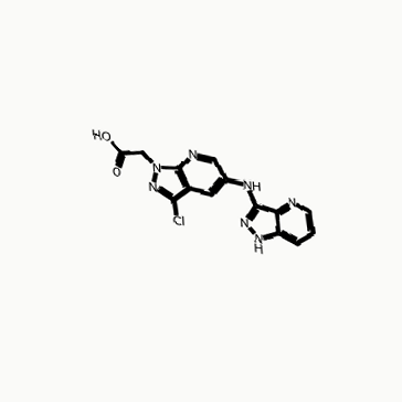 O=C(O)Cn1nc(Cl)c2cc(Nc3n[nH]c4cccnc34)cnc21